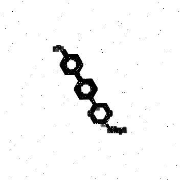 CCCCCCC[C@@H]1CO[C@@H](c2ccc(-c3ccc(CCC)cc3)cc2)CO1